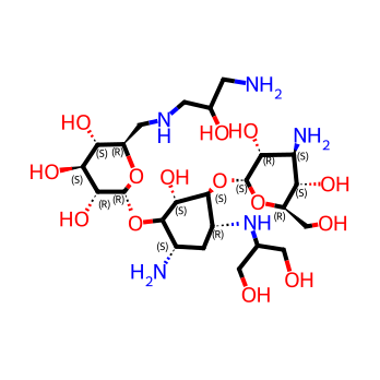 NCC(O)CNC[C@H]1O[C@H](OC2[C@@H](N)C[C@@H](NC(CO)CO)[C@H](O[C@H]3O[C@H](CO)[C@@H](O)[C@H](N)[C@H]3O)[C@H]2O)[C@H](O)[C@@H](O)[C@@H]1O